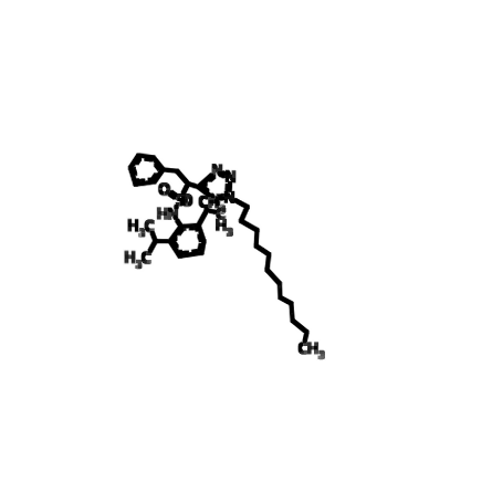 CCCCCCCCCCCCn1nnc(C(Cc2ccccc2)S(=O)(=O)Nc2c(C(C)C)cccc2C(C)C)n1